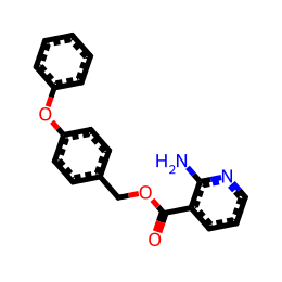 Nc1ncccc1C(=O)OCc1ccc(Oc2ccccc2)cc1